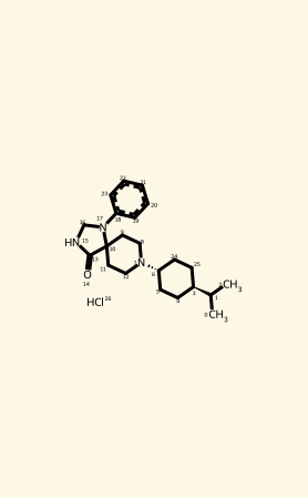 CC(C)[C@H]1CC[C@H](N2CCC3(CC2)C(=O)NCN3c2ccccc2)CC1.Cl